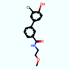 COCCNC(=O)c1cccc(-c2ccc(O)c(Cl)c2)c1